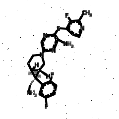 Cc1nccc(Sc2ncc(N3CC[C@@H]4[C@H](C3)[C@@]4(CN)c3cc(F)ccc3F)nc2N)c1F